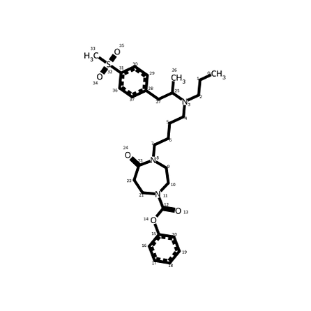 CCCN(CCCCN1CCN(C(=O)Oc2ccccc2)CCC1=O)C(C)Cc1ccc(S(C)(=O)=O)cc1